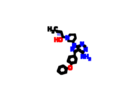 C/C=C/C(O)N1CCCC(n2nc(-c3ccc(Oc4ccccc4)cc3)c3c(N)ncnc32)C1